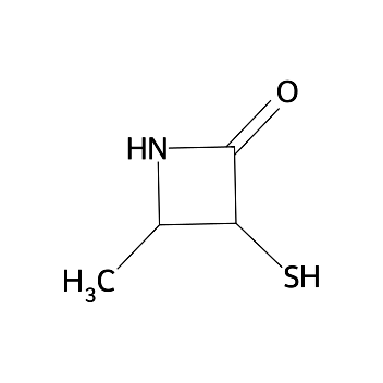 CC1NC(=O)C1S